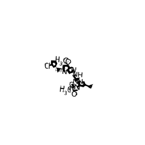 COc1cc([C@H]2C[C@@H]2c2cccc(Cl)c2)nc2cc(NCc3cn4cc(C5CC5)cc(N5CC(=O)N(C)C5=O)c4n3)ncc12